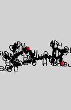 CC(C)(C)OC(=O)CC[C@@H](NC(=O)COCCOCCNC(=O)[C@H](CCCCNC(=O)CC[C@H](C(=O)OC(C)(C)C)N1CCN(CC(=O)OC(C)(C)C)CCN(CC(=O)OC(C)(C)C)CCN(CC(=O)OC(C)(C)C)CC1)NC(O)CCCc1ccc(I)cc1)C(=O)N[C@H](CCC(=O)OC(C)(C)C)C(=O)N[C@H](CCC(=O)OC(C)(C)C)C(=O)NCCC(=O)O